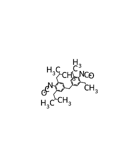 CCc1cc(Cc2cc(CC(C)C)c(N=C=O)c(CC(C)C)c2)cc(CC)c1N=C=O